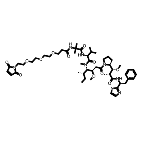 CC[C@H](C)[C@@H]([C@@H](CC(=O)N1CCC[C@H]1[C@H](OC)[C@@H](C)C(=O)N[C@@H](Cc1ccccc1)c1nccs1)OC)N(C)C(=O)[C@@H](NC(=O)C(C)(C)NC(=O)CCOCCOCCOCCN1C(=O)C=CC1=O)C(C)C